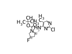 Cc1cnc(Cl)nc1NC[C@@H]1C[C@H](F)CN1C(=O)OC(C)(C)C